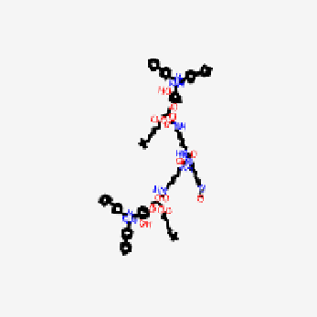 CC(C)(C)CCCCCC(=O)OCC(COc1ccc(-c2nc(-c3ccc(-c4ccccc4)cc3)nc(-c3ccc(-c4ccccc4)cc3)n2)c(O)c1)OC(=O)NCCCCCCNC(=O)N(CCCCCCN=C=O)C(=O)NCCCCCCNC(=O)OC(COC(=O)CCCCCC(C)(C)C)COc1ccc(-c2nc(-c3ccc(-c4ccccc4)cc3)nc(-c3ccc(-c4ccccc4)cc3)n2)c(O)c1